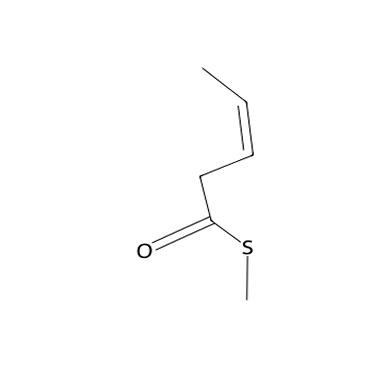 C/C=C\CC(=O)SC